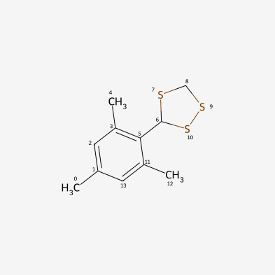 Cc1cc(C)c(C2SCSS2)c(C)c1